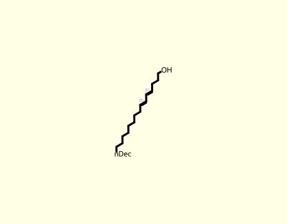 CCCCCCCCCCCCCCCCCC/C=C/C=C/CCCO